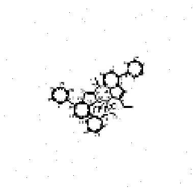 CCC1=Cc2c(-c3ccccc3)cccc2[CH]1[Zr]([Cl])([Cl])([CH]1C(CC)=Cc2c(-c3ccccc3)cccc21)=[Si](C)c1ccccc1